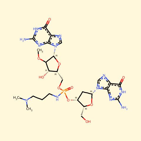 COC1[C@@H](O)[C@@H](COP(=O)(NCCCN(C)C)O[C@@H]2C[C@H](n3cnc4c(=O)[nH]c(N)nc43)O[C@@H]2CO)O[C@H]1n1cnc2c(=O)[nH]c(N)nc21